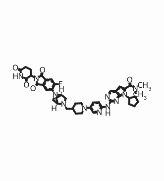 CN(C)C(=O)c1cc2cnc(Nc3ccc(N4CCC(CN5C[C@H]6C[C@@H]5CN6c5cc6c(cc5F)C(=O)N(C5CCC(=O)NC5=O)C6=O)CC4)cn3)nc2n1C1CCCC1